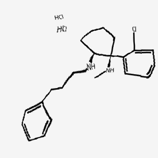 CN[C@]1(c2ccccc2Cl)CCCC[C@@H]1NCCCc1ccccc1.Cl.Cl